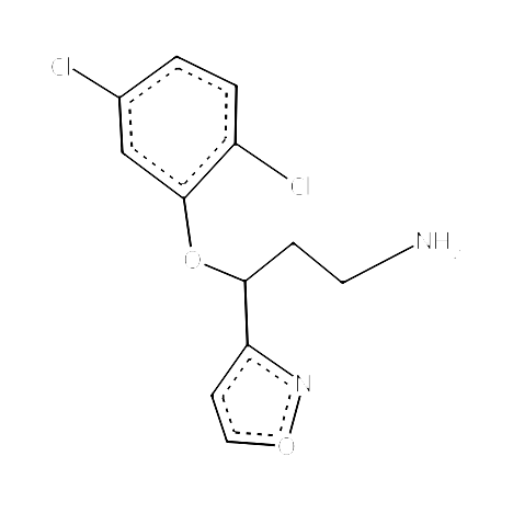 NCCC(Oc1cc(Cl)ccc1Cl)c1ccon1